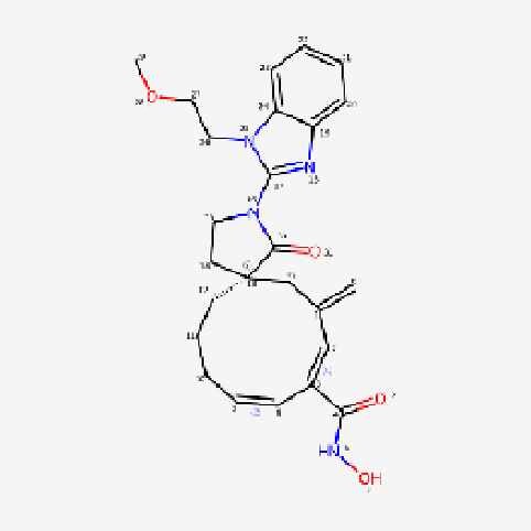 C=C1/C=C(C(=O)NO)\C=C/CCC[C@@]2(CCN(c3nc4ccccc4n3CCOC)C2=O)C1